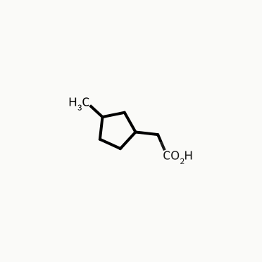 CC1CCC(CC(=O)O)C1